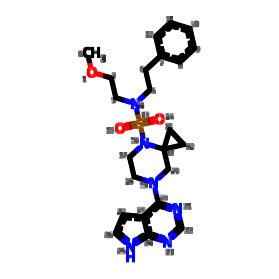 COCCN(CCc1ccccc1)S(=O)(=O)N1CCN(c2ncnc3[nH]ccc23)CC12CC2